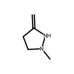 C=C1CCN(C)N1